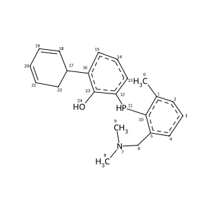 Cc1cccc(CN(C)C)c1Pc1cccc(C2C=CC=CC2)c1O